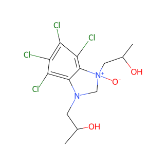 CC(O)CN1C[N+]([O-])(CC(C)O)c2c(Cl)c(Cl)c(Cl)c(Cl)c21